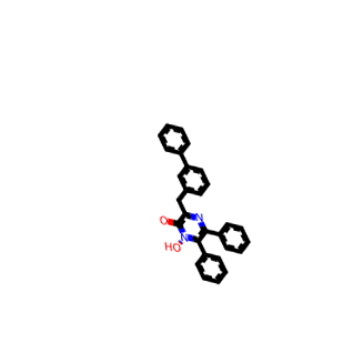 O=c1c(Cc2cccc(-c3ccccc3)c2)nc(-c2ccccc2)c(-c2ccccc2)n1O